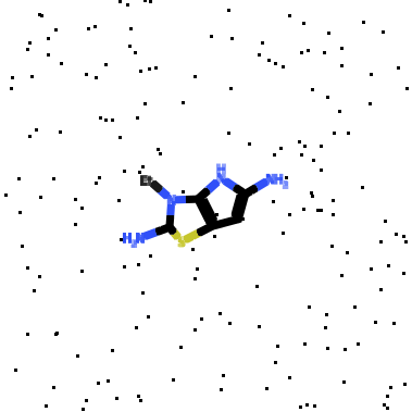 CCN1c2[nH]c(N)cc2SC1N